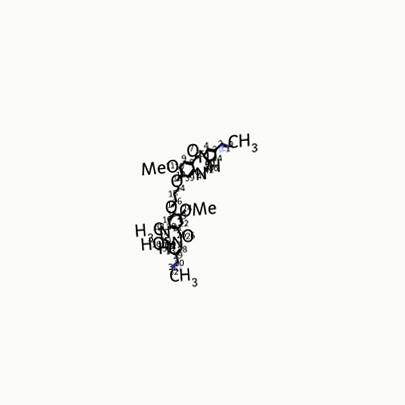 C/C=C/C1=CN2C(=O)c3cc(OC)c(OCCCOc4cc5c(cc4OC)C(=O)N4C=C(/C=C/C)C[C@H]4[C@H](O)N5C)cc3N=C[C@@H]2C1